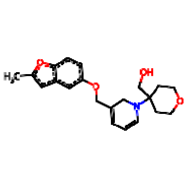 Cc1cc2cc(OCC3=CC=CN(C4(CO)CCOCC4)C3)ccc2o1